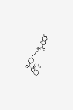 Cn1c(C(=O)N2CCC(CCCCNC(=O)c3cc4ccncc4s3)CC2)cc2ccccc21